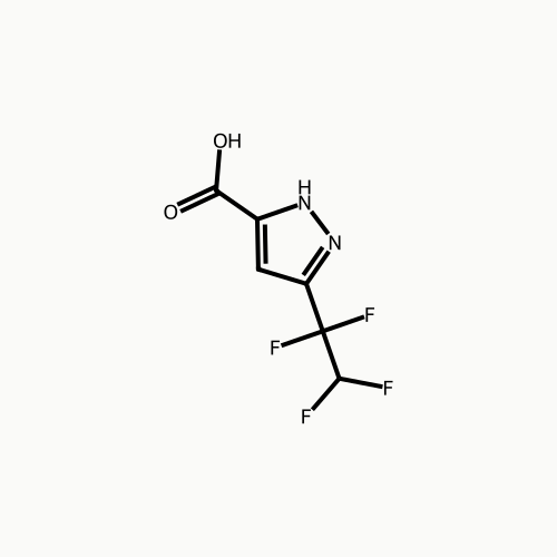 O=C(O)c1cc(C(F)(F)C(F)F)n[nH]1